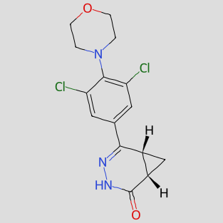 O=C1NN=C(c2cc(Cl)c(N3CCOCC3)c(Cl)c2)[C@@H]2C[C@H]12